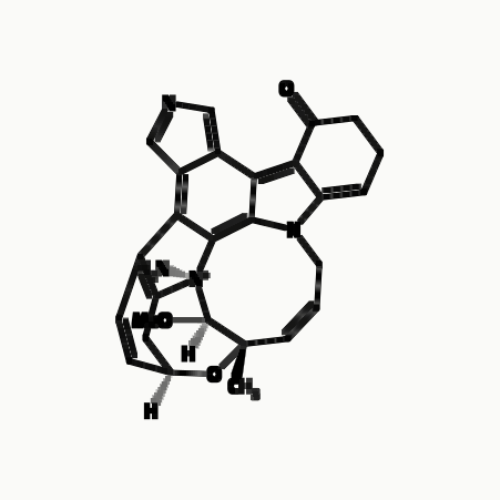 CO[C@@H]1[C@]2(C)/C=C\Cn3c4c(c5c6c(c7c(c53)[N@+]1(N)C1=C7C=C[C@@H](C1)O2)C=NC=6)C(=O)CCC=4